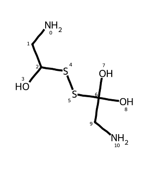 NCC(O)SSC(O)(O)CN